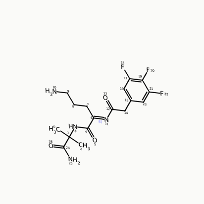 CC(C)(NC(=O)/C(CCCN)=N/C(=O)Cc1cc(F)c(F)c(F)c1)C(N)=O